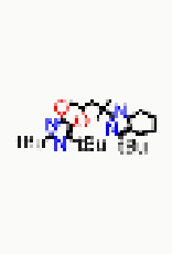 CC(C)(C)c1nc2c(c(C(C)(C)C)n1)OC(CC(C)(C)c1nc3c(c(C(C)(C)C)n1)CCCC3)CO2